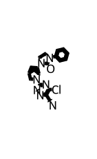 N#Cc1nnc(N2CC3CC(N4CCN(c5ccccc5)C4=O)C2C3)nc1Cl